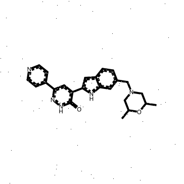 CC1CN(Cc2ccc3cc(-c4cc(-c5ccncc5)n[nH]c4=O)[nH]c3c2)CC(C)O1